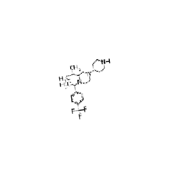 CC(C)C1CN(C2CCNCC2)CCN1C(C)c1ccc(C(F)(F)F)cc1